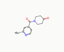 CC(C)(C)c1cc(C(=O)N2CCC(=O)CC2)ccn1